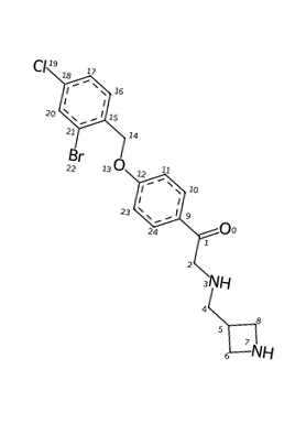 O=C(CNCC1CNC1)c1ccc(OCc2ccc(Cl)cc2Br)cc1